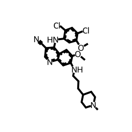 COc1cc(Nc2c(C#N)cnc3cc(NCCCC4CCN(C)CC4)c(OC)cc23)c(Cl)cc1Cl